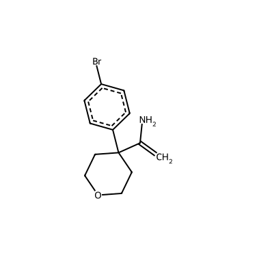 C=C(N)C1(c2ccc(Br)cc2)CCOCC1